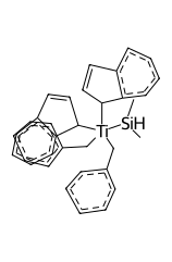 C[SiH](C)[Ti]([CH2]c1ccccc1)([CH2]c1ccccc1)([CH]1C=Cc2ccccc21)[CH]1C=Cc2ccccc21